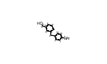 CCCc1ccc(Cc2cccc(CO)c2)cc1